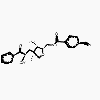 C[C@@]1(CN(O)C(=O)c2ccccc2)CO[C@H](CNC(=O)c2ccc(C#N)cc2)[C@H]1O